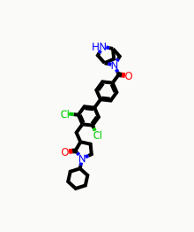 O=C(c1ccc(-c2cc(Cl)c(CC3CCN(C4CCCCC4)C3=O)c(Cl)c2)cc1)N1CC2CC1CN2